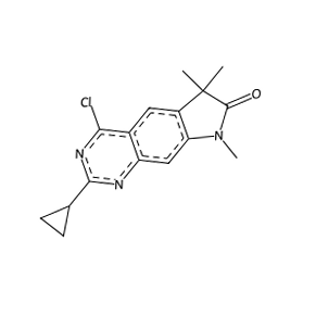 CN1C(=O)C(C)(C)c2cc3c(Cl)nc(C4CC4)nc3cc21